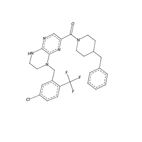 O=C(c1cnc2c(n1)N(Cc1cc(Cl)ccc1C(F)(F)F)CCN2)N1CCC(Cc2ccccc2)CC1